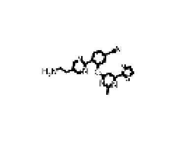 Cc1nc(Oc2cc(C#N)ccc2-c2ncc(CCN)cn2)cc(-c2nccs2)n1